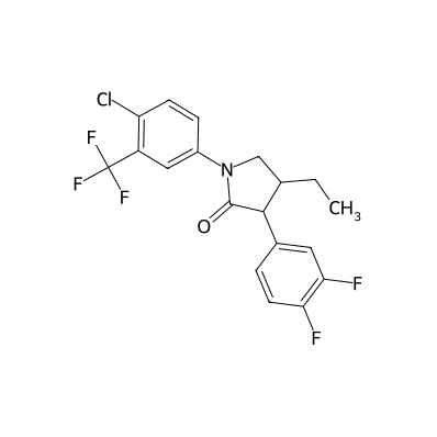 CCC1CN(c2ccc(Cl)c(C(F)(F)F)c2)C(=O)C1c1ccc(F)c(F)c1